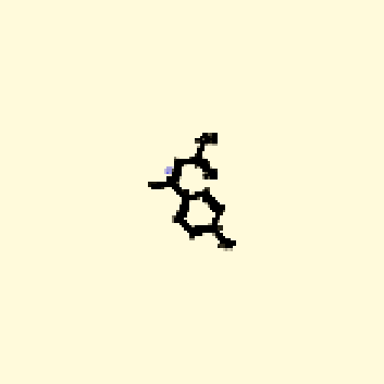 C/C(=C/C(=O)O)c1ccc(Br)cc1